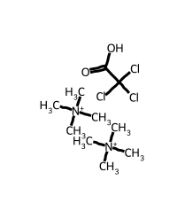 C[N+](C)(C)C.C[N+](C)(C)C.O=C(O)C(Cl)(Cl)Cl